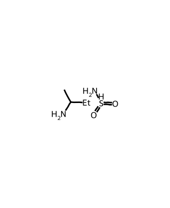 CCC(C)N.N[SH](=O)=O